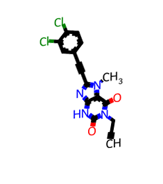 C#CCn1c(=O)[nH]c2nc(C#Cc3ccc(Cl)c(Cl)c3)n(C)c2c1=O